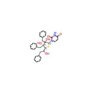 O=c1ccn([C@H]2S[C@@H](C(O)Cc3ccccc3)[C@@](O)(Cc3ccccc3)[C@]2(O)Cc2ccccc2)c(=O)[nH]1